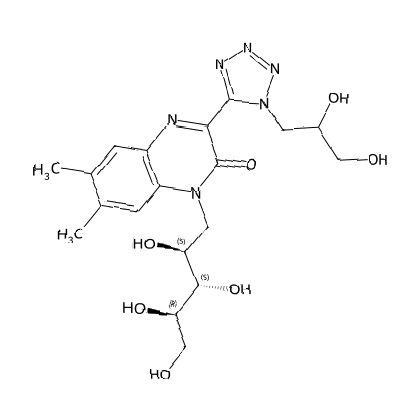 Cc1cc2nc(-c3nnnn3CC(O)CO)c(=O)n(C[C@H](O)[C@H](O)[C@H](O)CO)c2cc1C